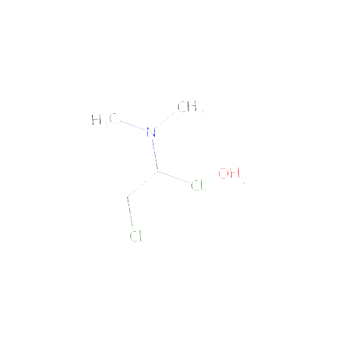 CN(C)C(Cl)CCl.O